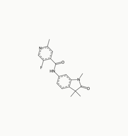 Cc1cc(C(=O)Nc2ccc3c(c2)N(C)C(=O)C3(C)C)c(F)cn1